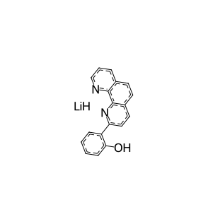 Oc1ccccc1-c1ccc2ccc3cccnc3c2n1.[LiH]